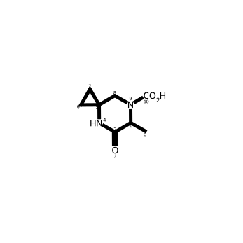 CC1C(=O)NC2(CC2)CN1C(=O)O